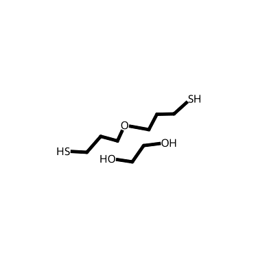 OCCO.SCCCOCCCS